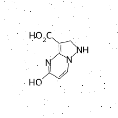 O=C(O)C1=C2N=C(O)C=CN2NC1